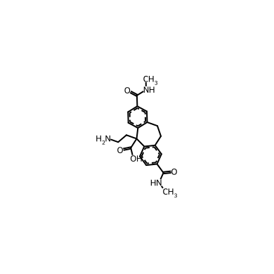 CNC(=O)c1ccc2c(c1)CCc1cc(C(=O)NC)ccc1C2(CCN)C(=O)O